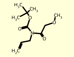 C=CCN(C(=O)COC)C(=O)OC(C)(C)C